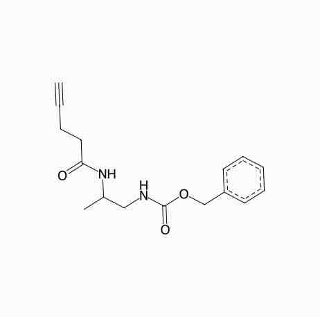 C#CCCC(=O)NC(C)CNC(=O)OCc1ccccc1